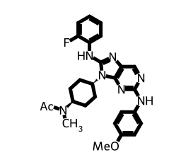 COc1ccc(Nc2ncc3nc(Nc4ccccc4F)n([C@H]4CC[C@H](N(C)C(C)=O)CC4)c3n2)cc1